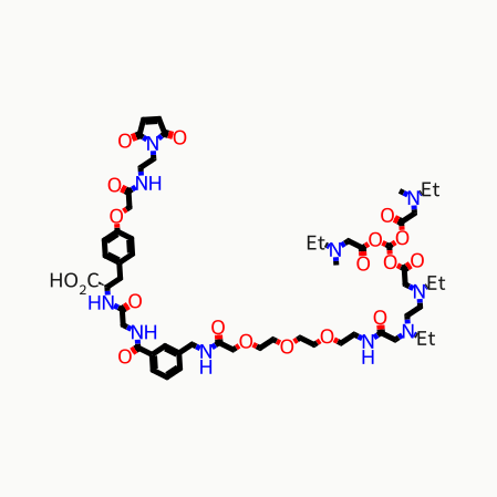 CCN(C)CC(=O)OC(OC(=O)CN(C)CC)OC(=O)CN(CC)CCN(CC)CC(=O)NCCOCCOCCOCC(=O)NCc1cccc(C(=O)NCC(=O)N[C@@H](Cc2ccc(OCC(=O)NCCN3C(=O)C=CC3=O)cc2)C(=O)O)c1